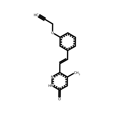 C#CCOc1cccc(C=Cc2n[nH]c(=O)cc2C)c1